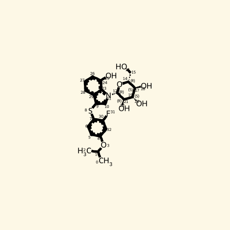 CC(C)Oc1ccc(Sc2cn([C@@H]3O[C@H](CO)[C@@H](O)[C@H](O)[C@H]3O)c3c(O)cccc23)c(F)c1